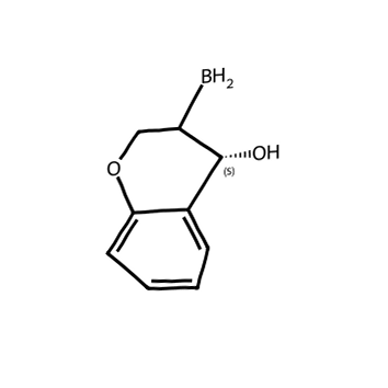 BC1COc2ccccc2[C@H]1O